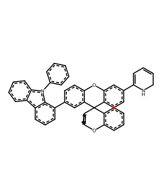 C1=CCNC(c2ccc3c(c2)Oc2ccc(-c4cccc5c6ccccc6n(-c6ccccc6)c45)cc2C32c3ccccc3Oc3ccccc32)=C1